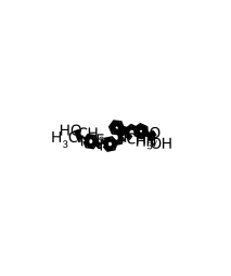 Cc1c(Cc2ccc(C(=O)NO)cc2)c2ccccc2n1CC1CCN(CC2(F)CCN(CC(C)(C)O)CC2)CC1